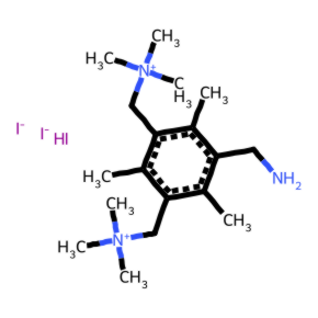 Cc1c(CN)c(C)c(C[N+](C)(C)C)c(C)c1C[N+](C)(C)C.I.[I-].[I-]